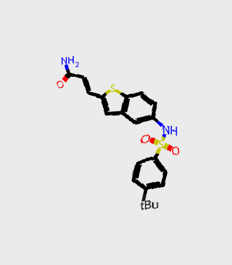 CC(C)(C)c1ccc(S(=O)(=O)Nc2ccc3sc(/C=C/C(N)=O)cc3c2)cc1